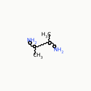 CCCCCc1cc(Cc2ccc(N)cc2)ccc1CCCCCCCCc1ccc(Cc2ccc(N)cc2)cc1CCCCC